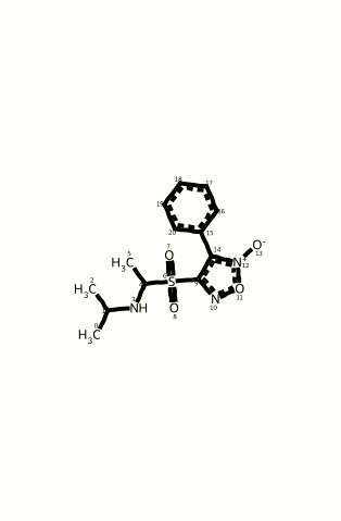 CC(C)NC(C)S(=O)(=O)c1no[n+]([O-])c1-c1ccccc1